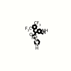 O=C1N=C(N2CCCNCC2)SC1=C(Cc1ccc(C(F)(F)F)cc1C(F)(F)F)c1ccc2[nH]ncc2c1